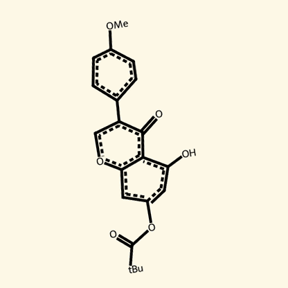 COc1ccc(-c2coc3cc(OC(=O)C(C)(C)C)cc(O)c3c2=O)cc1